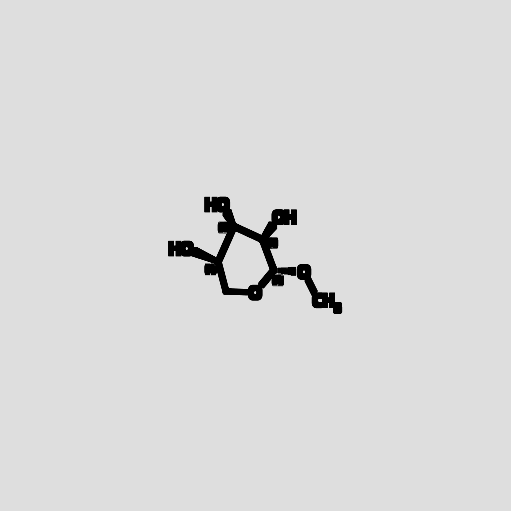 CO[C@@H]1OC[C@@H](O)[C@@H](O)[C@H]1O